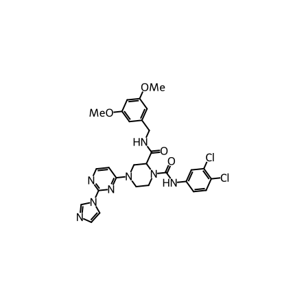 COc1cc(CNC(=O)C2CN(c3ccnc(-n4ccnc4)n3)CCN2C(=O)Nc2ccc(Cl)c(Cl)c2)cc(OC)c1